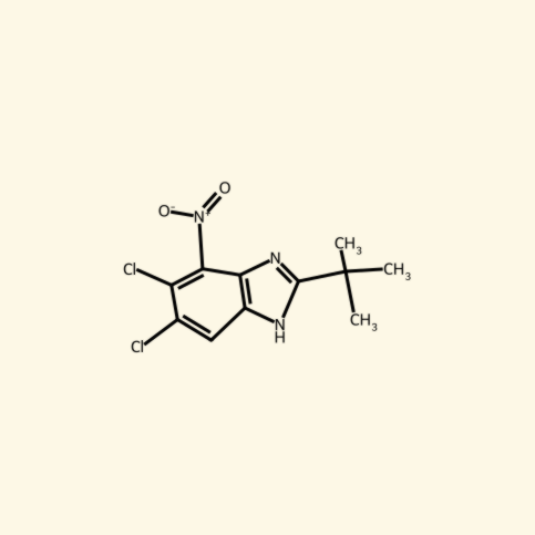 CC(C)(C)c1nc2c([N+](=O)[O-])c(Cl)c(Cl)cc2[nH]1